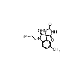 Cc1ccc2c(c1)C1(NC(=O)NC1=O)C(=O)N2CCC(C)C